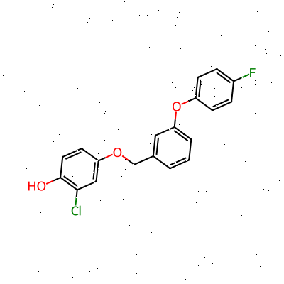 Oc1ccc(OCc2cccc(Oc3ccc(F)cc3)c2)cc1Cl